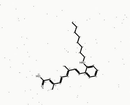 CCCCCCCCNc1ccccc1C=CC(C)=CC=CC(C)=CC(=O)O